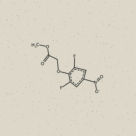 COC(=O)COc1c(F)cc([N+](=O)[O-])cc1F